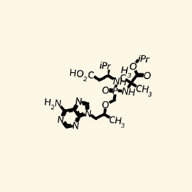 CC(C)OC(=O)C(C)(C)NP(=O)(COC(C)Cn1cnc2c(N)ncnc21)N[C@@H](CC(=O)O)C(C)C